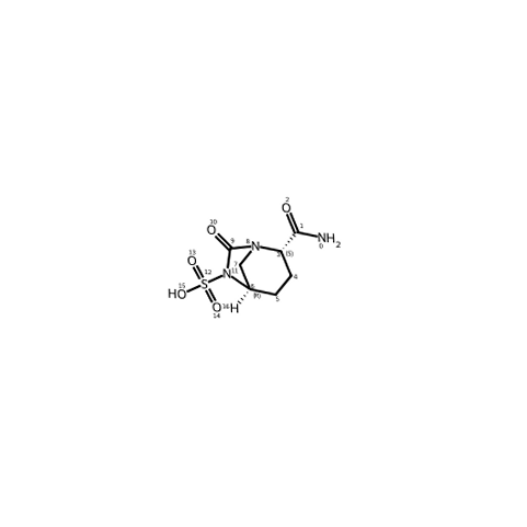 NC(=O)[C@@H]1CC[C@@H]2CN1C(=O)N2S(=O)(=O)O